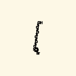 OCCOCCOCCOCCOCCOc1ccc(Br)cn1